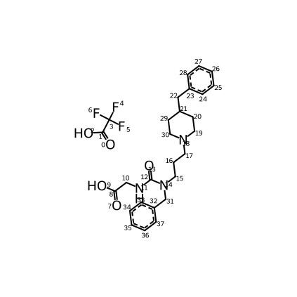 O=C(O)C(F)(F)F.O=C(O)CNC(=O)N(CCCN1CCC(Cc2ccccc2)CC1)Cc1ccccc1